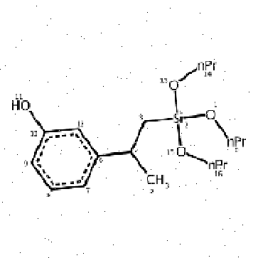 CCCO[Si](CC(C)c1cccc(O)c1)(OCCC)OCCC